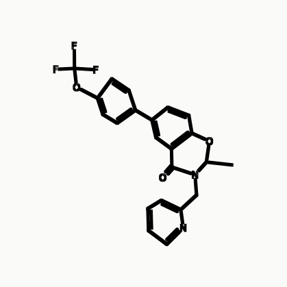 CC1Oc2ccc(-c3ccc(OC(F)(F)F)cc3)cc2C(=O)N1Cc1ccccn1